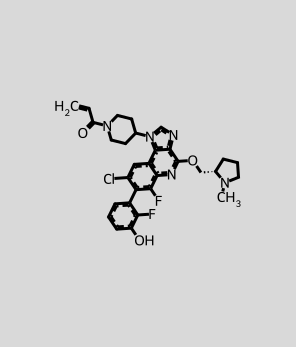 C=CC(=O)N1CCC(n2cnc3c(OC[C@@H]4CCCN4C)nc4c(F)c(-c5cccc(O)c5F)c(Cl)cc4c32)CC1